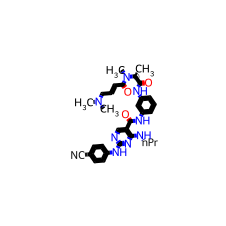 CCCNc1nc(Nc2ccc(C#N)cc2)ncc1C(=O)Nc1cccc(NC(=O)[C@H](C)N(C)C(=O)C=CCN(C)C)c1